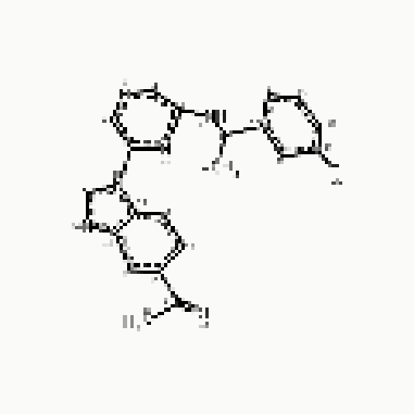 CC(Nc1cncc(-n2cnc3cc(C(N)=O)ccc32)n1)c1cccc(F)c1